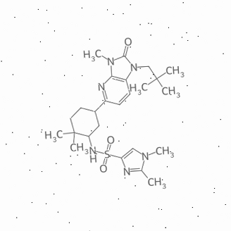 Cc1nc(S(=O)(=O)NC2CC(c3ccc4c(n3)n(C)c(=O)n4CC(C)(C)C)CCC2(C)C)cn1C